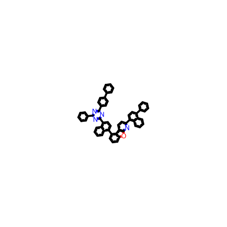 c1ccc(-c2ccc(-c3nc(-c4ccccc4)nc(-c4ccc(-c5cccc6oc7nc(-c8ccc(-c9ccccc9)c9ccccc89)ccc7c56)c5ccccc45)n3)cc2)cc1